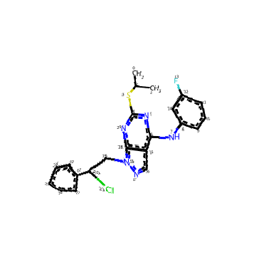 CC(C)Sc1nc(Nc2cccc(F)c2)c2cnn(CC(Cl)c3ccccc3)c2n1